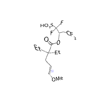 CCC(CC)(C/C=C/OC)C(=O)OC(C(F)(F)F)C(F)(F)S(=O)(=O)O